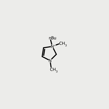 CCCC[N+]1(C)C=CN(C)C1